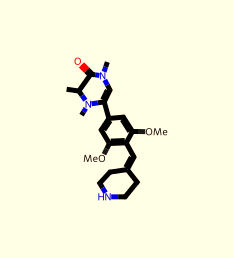 COc1cc(C2=CN(C)C(=O)C(C)N2C)cc(OC)c1C=C1CCNCC1